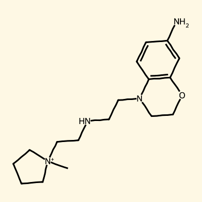 C[N+]1(CCNCCN2CCOc3cc(N)ccc32)CCCC1